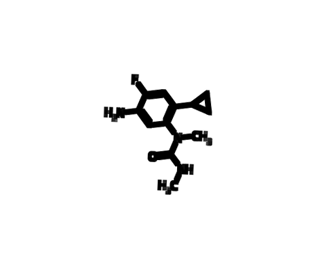 CNC(=O)N(C)c1cc(N)c(F)cc1C1CC1